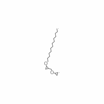 [CH2]CCCCCCCCCCCCCOC1CC1COC1[CH]C1